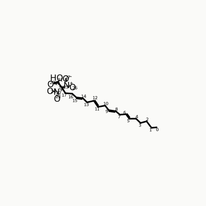 CCCCCC=CCC=CCC=CCC=CCCC(C(=O)O)([N+](=O)[O-])[N+](=O)[O-]